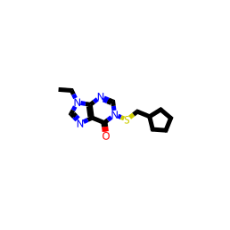 CCn1cnc2c(=O)n(SCC3CCCC3)cnc21